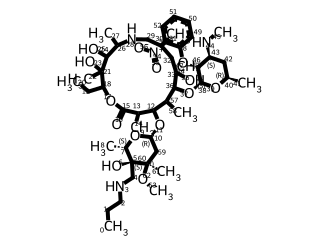 CCCNC[C@]1(O)[C@H](C)O[C@@H](OC2C(C)C(=O)OC(CC)C(C)(O)C(O)C(C)NCC(C)CC(C)(O)C(O[C@@H]3O[C@H](C)C[C@H](NC)[C@H]3Oc3ccccc3[N+](=O)[O-])C2C)C[C@@]1(C)OC